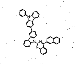 C1=CC2c3cc(-c4ccc5c(c4)c4ccccc4n5-c4ccccc4)ccc3N(c3nc(-c4ccc5ccccc5c4)c4ccccc4n3)C2C=C1